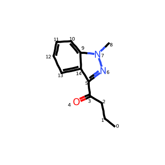 CCCC(=O)c1nn(C)c2ccccc12